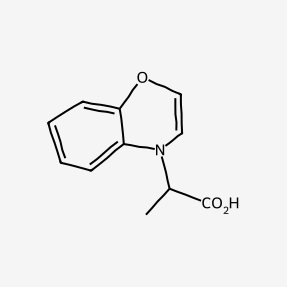 CC(C(=O)O)N1C=COc2ccccc21